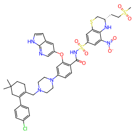 CC1(C)CCC(CN2CCN(c3ccc(C(=O)NS(=O)(=O)c4cc5c(c([N+](=O)[O-])c4)N[C@@H](CCS(C)(=O)=O)CS5)c(Oc4cnc5[nH]ccc5c4)c3)CC2)=C(c2ccc(Cl)cc2)C1